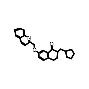 O=C1c2cc(OCc3ccc4ccccc4n3)ccc2CCC1CC1CCCC1